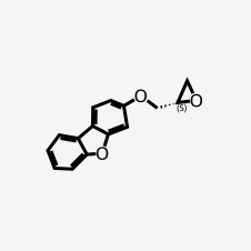 c1ccc2c(c1)oc1cc(OC[C@@H]3CO3)ccc12